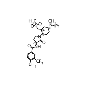 Cc1ccc(C(=O)N[C@H]2CCN([C@H]3CC[C@@H](N(C)C(C)C)C[C@@H]3CS(C)(=O)=O)C2=O)cc1C(F)(F)F